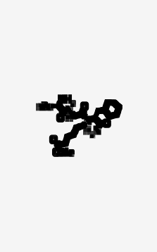 CCCC[C@@H](N)C(=O)NCC(=O)N(CCCCCC(=O)OC)[C@@H](CC1CCCCC1)C(N)=O